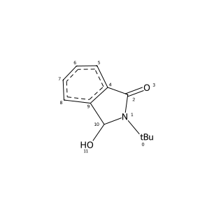 CC(C)(C)N1C(=O)c2ccccc2C1O